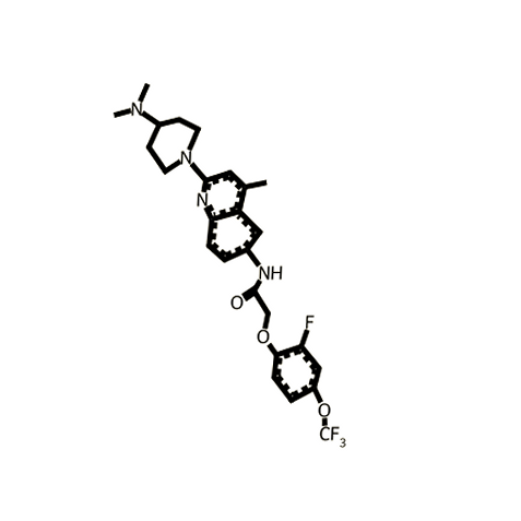 Cc1cc(N2CCC(N(C)C)CC2)nc2ccc(NC(=O)COc3ccc(OC(F)(F)F)cc3F)cc12